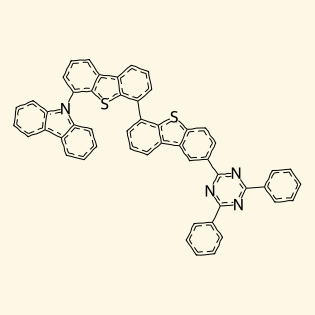 c1ccc(-c2nc(-c3ccccc3)nc(-c3ccc4sc5c(-c6cccc7c6sc6c(-n8c9ccccc9c9ccccc98)cccc67)cccc5c4c3)n2)cc1